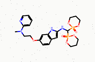 CN(CCOc1ccc2cc(NC(P3(=O)OCCCO3)P3(=O)OCCCO3)[nH]c2c1)c1ccccn1